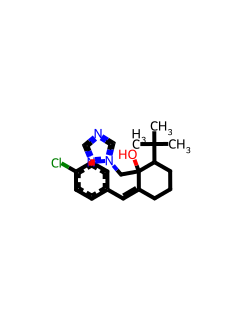 CC(C)(C)C1CCC/C(=C/c2ccc(Cl)cc2)C1(O)Cn1cncn1